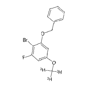 [2H]C([2H])([2H])Oc1cc(F)c(Br)c(OCc2ccccc2)c1